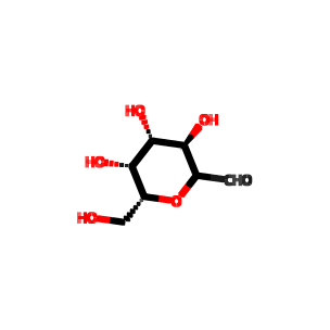 O=CC1O[C@H](CO)[C@H](O)[C@H](O)[C@H]1O